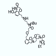 CCCCN(CCCNCCc1ccc(O)c2c1OCC(=O)N2)C(=O)CCOCCc1cccc(CN2CCC3(CC2)CN(C(=O)c2csc(CC)n2)CCO3)c1Cl